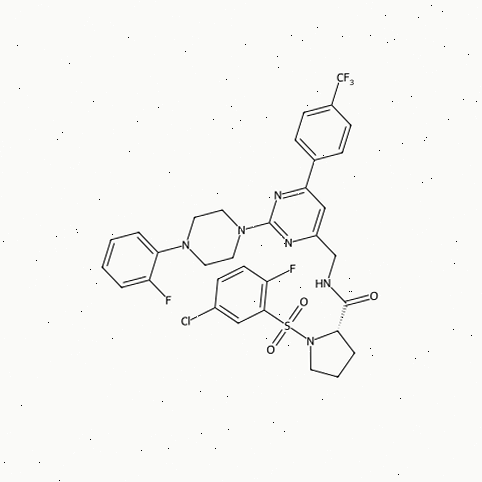 O=C(NCc1cc(-c2ccc(C(F)(F)F)cc2)nc(N2CCN(c3ccccc3F)CC2)n1)[C@@H]1CCCN1S(=O)(=O)c1cc(Cl)ccc1F